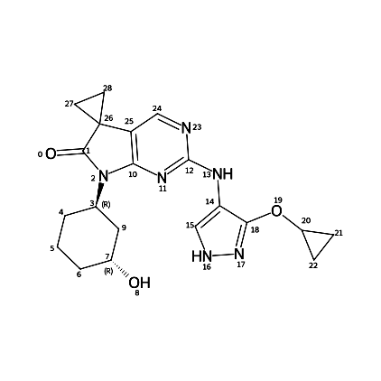 O=C1N([C@@H]2CCC[C@@H](O)C2)c2nc(Nc3c[nH]nc3OC3CC3)ncc2C12CC2